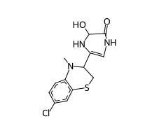 CN1c2ccc(Cl)cc2SCC1C1=CNC(=O)C(O)N1